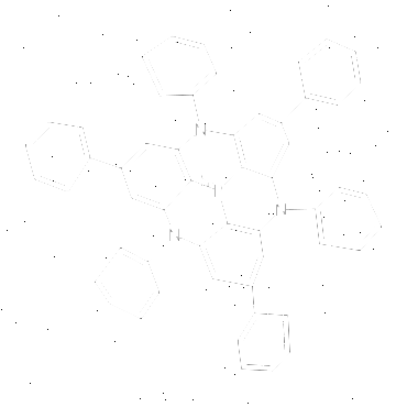 S=P12c3c4cc(-c5ccccc5)cc3N(c3ccccc3)c3cc(-c5ccccc5)cc(c31)N(c1ccccc1)c1cc(-c3ccccc3)cc(c12)N4c1ccccc1